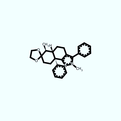 C[C@H]1[C@@H]2CCc3c(nn(C)c3-c3ccccc3)[C@@]2(c2ccccc2)CCC12OCCO2